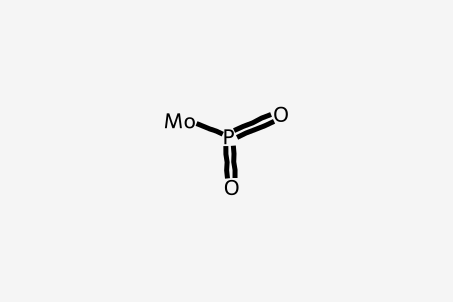 O=[P](=O)[Mo]